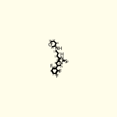 Fc1ccc(F)c(C2Cc3c(CCCN[C@H]4CCCOC4)[nH]c(=S)n3C2)c1F